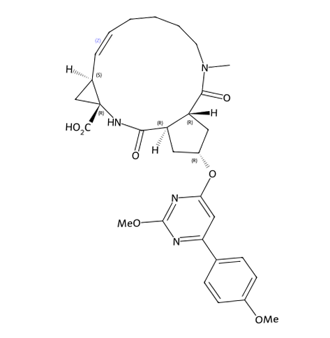 COc1ccc(-c2cc(O[C@@H]3C[C@H]4C(=O)N[C@]5(C(=O)O)C[C@H]5/C=C\CCCCN(C)C(=O)[C@@H]4C3)nc(OC)n2)cc1